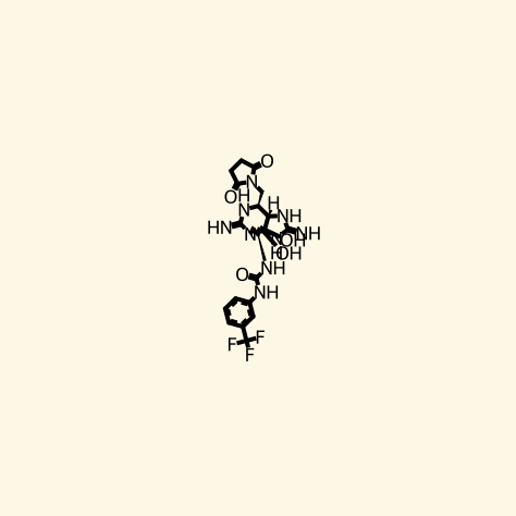 N=C1N[C@H]2[C@H](CN3C(=O)CCC3=O)NC(=N)N3C[C@H](NC(=O)Nc4cccc(C(F)(F)F)c4)C(O)(O)[C@]23N1